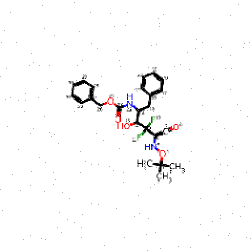 CC(C)(C)ONC(=C=O)C(F)(F)C(O)C(Cc1ccccc1)NC(=O)OCc1ccccc1